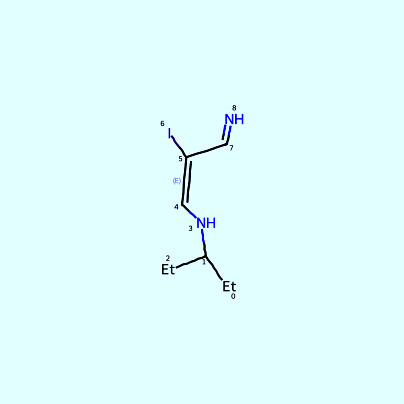 CCC(CC)N/C=C(/I)C=N